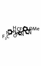 COc1nccc2c(-c3ncn(C(=O)Nc4ccnc(C(F)(F)F)c4)c3C(F)(F)F)cccc12